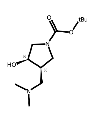 CN(C)C[C@@H]1CN(C(=O)OC(C)(C)C)C[C@@H]1O